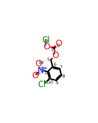 O=C(OCl)OCc1cccc(Cl)c1[N+](=O)[O-]